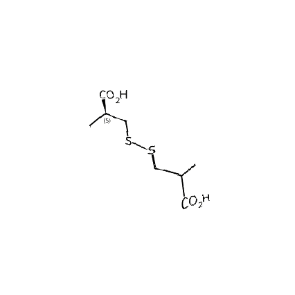 CC(CSSC[C@@H](C)C(=O)O)C(=O)O